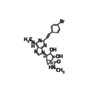 CNC(=O)[C@]12CC1[C@@H](n1cnc3c(NC)nc(C#Cc4ccc(Br)cc4)nc31)C(O)[C@@H]2O